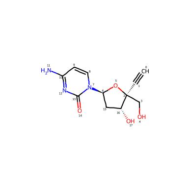 C#C[C@@]1(CO)O[C@H](n2ccc(N)nc2=O)C[C@H]1O